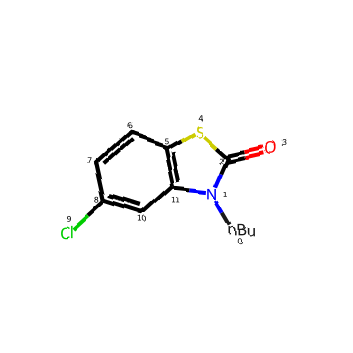 CCCCn1c(=O)sc2ccc(Cl)cc21